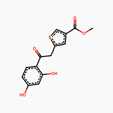 COC(=O)c1csc(CC(=O)c2ccc(O)cc2O)c1